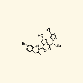 CC(Cc1ccc(Br)cc1F)NC(=O)C1CC(O)CN1C(=O)[C@@H](n1cc(C2CC2)nn1)C(C)(C)C